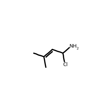 CC(C)=CC(N)Cl